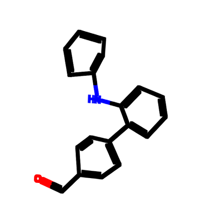 O=Cc1ccc(-c2ccccc2Nc2ccccc2)cc1